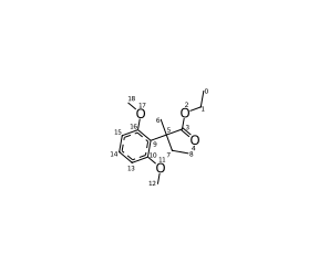 CCOC(=O)C(C)(CC)c1c(OC)cccc1OC